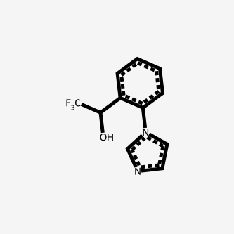 OC(c1ccccc1-n1ccnc1)C(F)(F)F